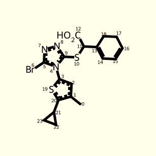 Cc1cc(-n2c(Br)nnc2SC(C(=O)O)C2=CC=CCC2)sc1C1CC1